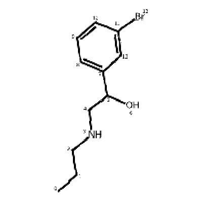 CCCNCC(O)c1cccc(Br)c1